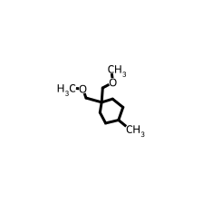 COCC1(COC)CCC(C)CC1